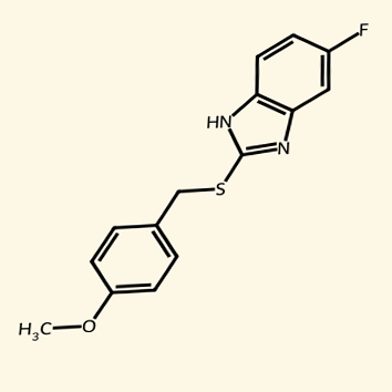 COc1ccc(CSc2nc3cc(F)ccc3[nH]2)cc1